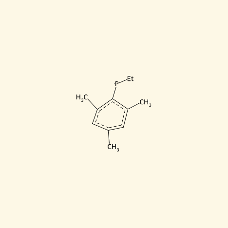 CC[P]c1c(C)cc(C)cc1C